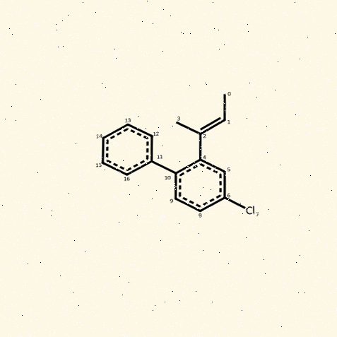 C/C=C(\C)c1cc(Cl)ccc1-c1ccccc1